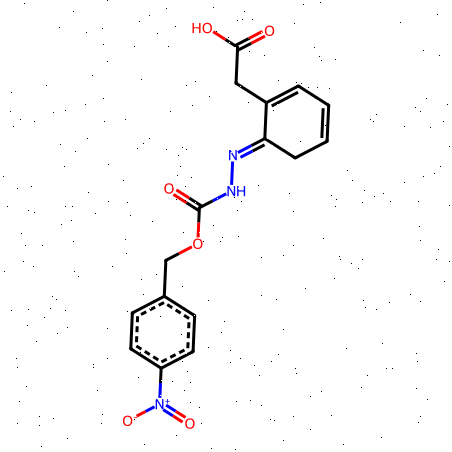 O=C(O)CC1=CC=CC/C1=N\NC(=O)OCc1ccc([N+](=O)[O-])cc1